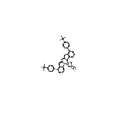 CC1=Cc2c(-c3ccc(C(C)(C)C)cc3)cccc2[CH]1[Zr+2]1([CH]2C(C)=Cc3c(-c4ccc(C(C)(C)C)cc4)cccc32)[CH2]C[CH2]1.[Cl-].[Cl-]